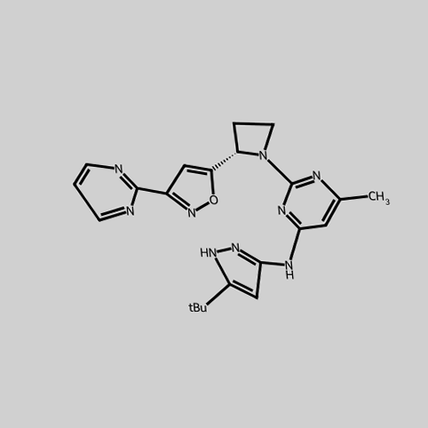 Cc1cc(Nc2cc(C(C)(C)C)[nH]n2)nc(N2CC[C@H]2c2cc(-c3ncccn3)no2)n1